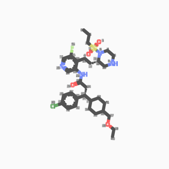 CCCS(=O)(=O)N1CCNC[C@@H]1CCc1c(F)cncc1NC(=O)C[C@@H](c1ccc(Cl)cc1)C1CCC(COCC)CC1